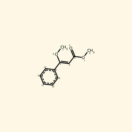 COC(=O)/C=C(\OC)c1ccccc1